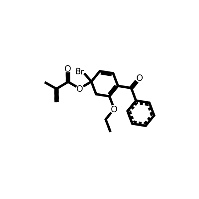 C=C(C)C(=O)OC1(Br)C=CC(C(=O)c2ccccc2)=C(OCC)C1